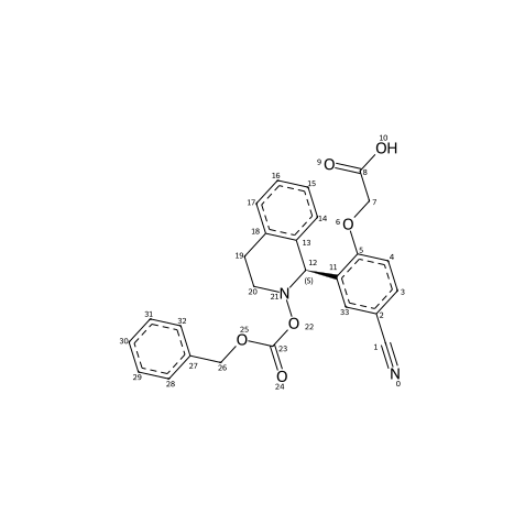 N#Cc1ccc(OCC(=O)O)c([C@@H]2c3ccccc3CCN2OC(=O)OCc2ccccc2)c1